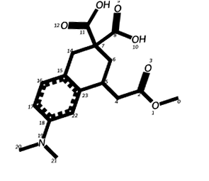 COC(=O)CC1CC(C(=O)O)(C(=O)O)Cc2ccc(N(C)C)cc21